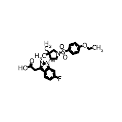 CCOc1ccc(S(=O)(=O)N2C[C@H](n3nc(CC(=O)O)c4ccc(F)cc43)C(C)(C)C2)cc1